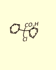 O=C(O)C(CCl)(c1ccccc1)c1ccccc1